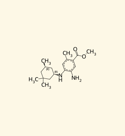 COC(=O)c1cc(N)c(N[C@@H]2C[C@H](C)CC(C)(C)C2)cc1C